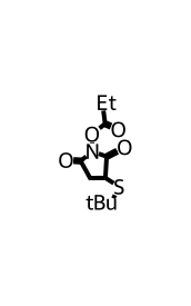 CCC(=O)ON1C(=O)CC(SC(C)(C)C)C1=O